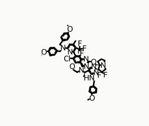 COc1ccc(CNc2ncncc2[C@@H](C)N2CCOc3c(Cl)c(-c4nc(N(Cc5ccc(OC)cc5)Cc5ccc(OC)cc5)cc(C)c4C(F)(F)F)c(F)c4nc(OC[C@@]56CCCN5CC(F)(F)C6)nc2c34)cc1